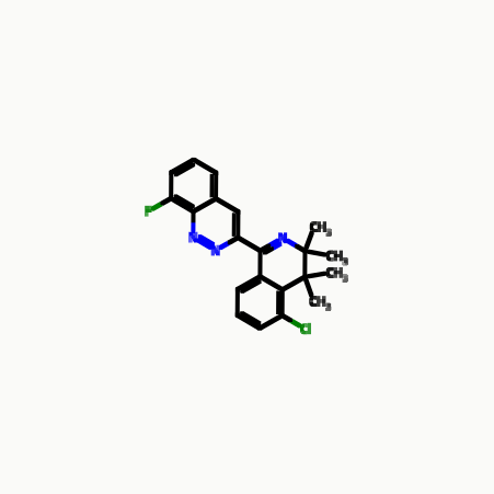 CC1(C)N=C(c2cc3cccc(F)c3nn2)c2cccc(Cl)c2C1(C)C